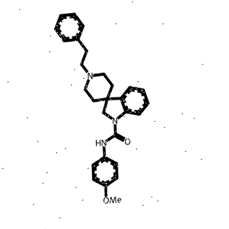 COc1ccc(NC(=O)N2CC3(CCN(CCc4ccccc4)CC3)c3ccccc32)cc1